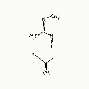 C=C(I)C=C=N/C(C)=N\C